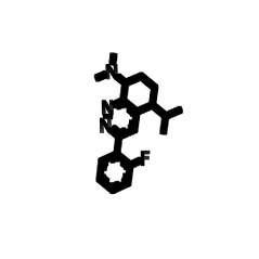 CC(C)C1CCC(N(C)C)c2nnc(-c3ccccc3F)cc21